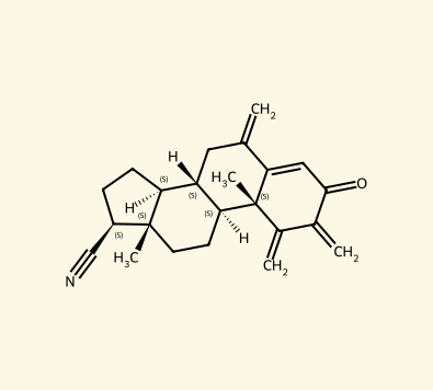 C=C1C[C@@H]2[C@H](CC[C@]3(C)[C@@H](C#N)CC[C@@H]23)[C@@]2(C)C(=C)C(=C)C(=O)C=C12